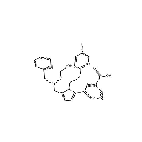 O=C(O)c1ccnc(-c2ccc(CN(CCO)Cc3ccccc3)n2CCc2ccc(F)cc2)c1